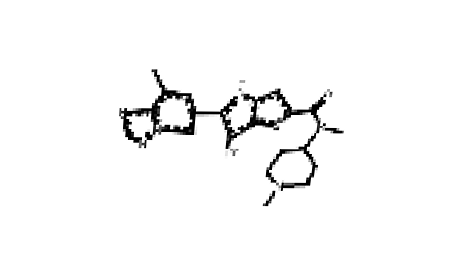 Cc1cc(-c2[nH]c3cc(C(=O)N(C)C4CCN(C)CC4)sc3c2C(C)C)cn2ncnc12